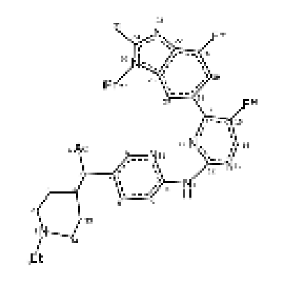 CCN1CCC(C(C(C)=O)c2ccc(Nc3ncc(F)c(-c4cc(F)c5nc(C)n(C(C)C)c5c4)n3)nc2)CC1